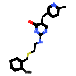 CNc1ccccc1CSCCNc1ncc(Cc2ccc(C)nc2)c(=O)[nH]1